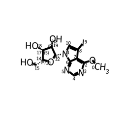 COc1ncnc2c1c(I)cn2[C@@H]1O[C@H](CO)[C@@H](O)[C@H]1O